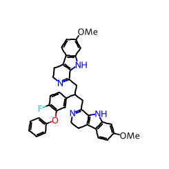 COc1ccc2c3c([nH]c2c1)C(CC(CC1=NCCc2c1[nH]c1cc(OC)ccc21)c1ccc(F)c(Oc2ccccc2)c1)=NCC3